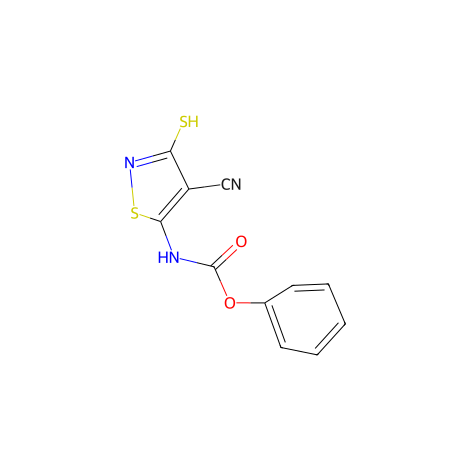 N#Cc1c(S)nsc1NC(=O)Oc1ccccc1